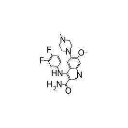 COc1cc2ncc(C(N)=O)c(Nc3ccc(F)c(F)c3)c2cc1N1CCN(C)CC1